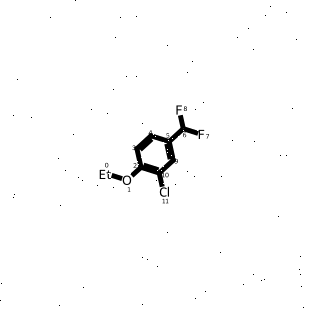 CCOc1ccc(C(F)F)cc1Cl